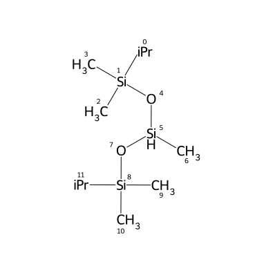 CC(C)[Si](C)(C)O[SiH](C)O[Si](C)(C)C(C)C